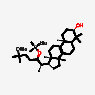 COC(C)(C)CCC(O[Si](C)(C)C(C)(C)C)[C@@H](C)[C@H]1CC[C@@]2(C)C3=C(CC[C@]12C)[C@@]1(C)CC[C@H](O)C(C)(C)C1CC3